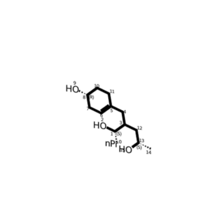 CCC[C@H](O)C(CC1=CC[C@H](O)CC1)C[C@H](C)O